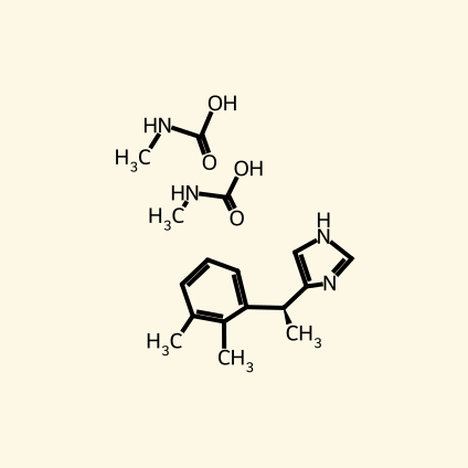 CNC(=O)O.CNC(=O)O.Cc1cccc([C@H](C)c2c[nH]cn2)c1C